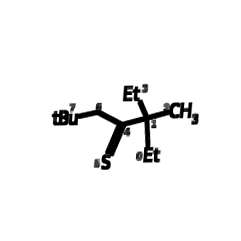 CCC(C)(CC)C(=S)CC(C)(C)C